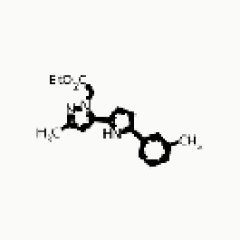 CCOC(=O)Cn1nc(C)cc1-c1ccc(-c2cccc(C)c2)[nH]1